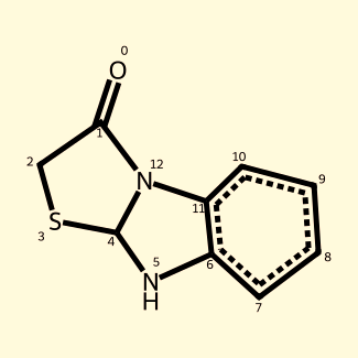 O=C1CSC2Nc3ccccc3N12